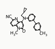 Cc1ccc(-c2cccc(N(CC3CC3)c3cc(=O)n(C)c4ccc(C#N)nc34)c2)cc1